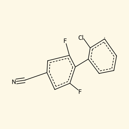 N#Cc1cc(F)c(-c2ccc[c]c2Cl)c(F)c1